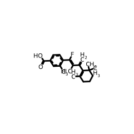 C=C(C1=C(C)CCCC1(C)C)/C(C)=C(\F)c1ccc(C(=O)O)cc1Cl